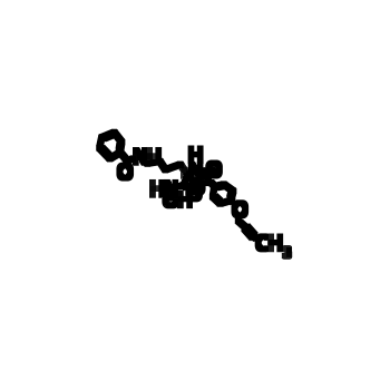 CC#CCOc1ccc(S(=O)(=O)N[C@H](CCCCNC(=O)c2ccccc2)C(=O)NO)cc1